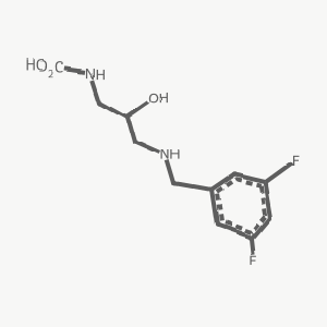 O=C(O)NCC(O)CNCc1cc(F)cc(F)c1